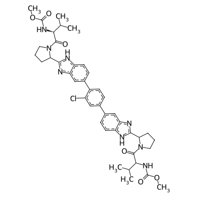 COC(=O)NC(C(=O)N1CCCC1c1nc2cc(-c3ccc(-c4ccc5[nH]c(C6CCCN6C(=O)[C@@H](NC(=O)OC)C(C)C)nc5c4)c(Cl)c3)ccc2[nH]1)C(C)C